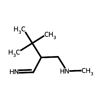 CNCC(C=N)C(C)(C)C